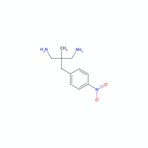 CC(CN)(CN)Cc1ccc([N+](=O)[O-])cc1